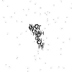 Cc1ccc(-n2nccn2)c(C(=O)N2[C@H](C)[C@@H]3C[C@H](Oc4ccc(C(F)(F)F)cn4)[C@H]2C3)n1